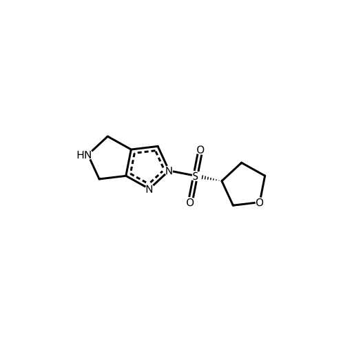 O=S(=O)([C@@H]1CCOC1)n1cc2c(n1)CNC2